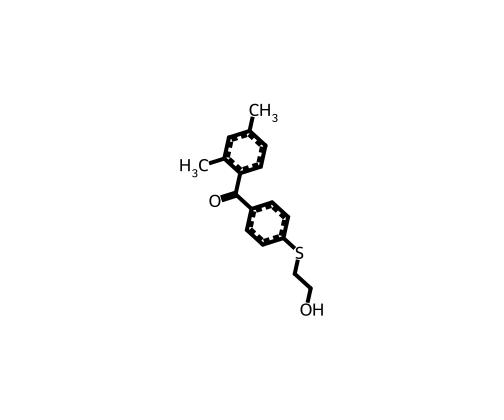 Cc1ccc(C(=O)c2ccc(SCCO)cc2)c(C)c1